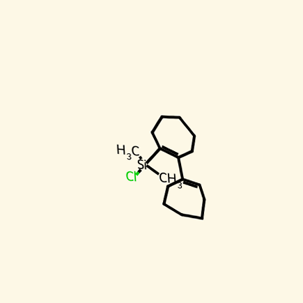 C[Si](C)(Cl)C1=C(C2=CCCCCC2)CCCCC1